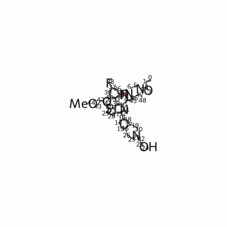 C=CC(=O)N1CCn2nc(-c3nc(-c4ccc5c(c4)CCN(CCO)CC5)c4ccsc4c3-c3c(F)cc(F)cc3OCCOC)cc2C1C